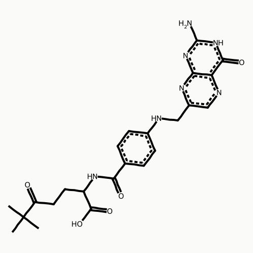 CC(C)(C)C(=O)CCC(NC(=O)c1ccc(NCc2cnc3c(=O)[nH]c(N)nc3n2)cc1)C(=O)O